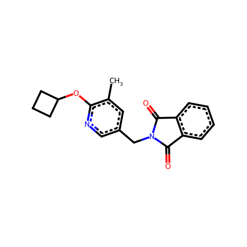 Cc1cc(CN2C(=O)c3ccccc3C2=O)cnc1OC1CCC1